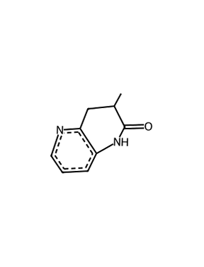 CC1Cc2ncccc2NC1=O